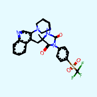 CC1(Cc2c(N3CCCCC3)cnc3ccccc23)NC(=O)N(c2ccc(S(=O)(=O)C(F)(F)F)cc2)C1=O